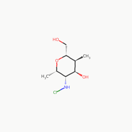 C[C@H]1[C@@H](O)[C@H](NCl)[C@H](C)O[C@@H]1CO